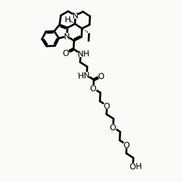 CC[C@@]12C=C(C(=O)NCCNC(=O)OCCOCCOCCOCCO)n3c4c(c5ccccc53)CCN(CCC1)[C@H]42